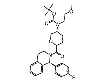 COCCN(C(=O)OC(C)(C)C)[C@H]1CC[C@@H](C(=O)N2CCc3ccccc3[C@@H]2c2ccc(F)cc2)OC1